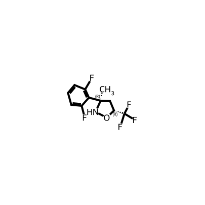 C[C@]1(c2c(F)cccc2F)C[C@H](C(F)(F)F)ON1